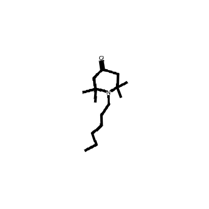 CCCCCCN1C(C)(C)CC(=O)CC1(C)C